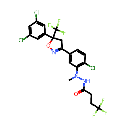 CN(NC(=O)CCC(F)(F)F)c1cc(C2=NOC(c3cc(Cl)cc(Cl)c3)(C(F)(F)F)C2)ccc1Cl